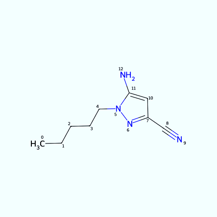 CCCCCn1nc(C#N)cc1N